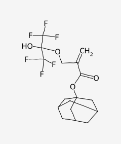 C=C(COC(O)(C(F)(F)F)C(F)(F)F)C(=O)OC12CC3CC(CC(C3)C1)C2